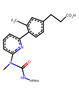 CCCCCCNC(=O)N(C)c1cccc(-c2ccc(CCC(=O)O)cc2C(F)(F)F)n1